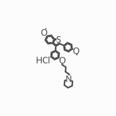 COc1ccc(-c2sc3cc(OC)ccc3c2-c2cccc(OCCCCN3CCCCC3)c2)cc1.Cl